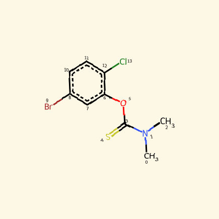 CN(C)C(=S)Oc1cc(Br)ccc1Cl